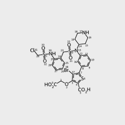 O=C(O)COc1c(C(=O)O)sc(-c2cccc(N(C3CCNCC3)S(=O)(=O)Cc3ccccc3NS(=O)(=O)CCl)c2)c1Br